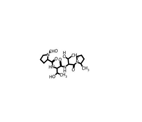 CC(O)C(NC(=O)C1CCCN1C=O)C(=O)NC(C(=O)N1CCCC1C)C(C)O